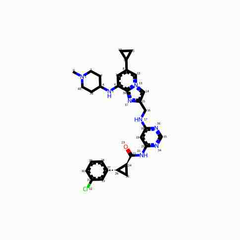 CN1CCC(Nc2cc(C3CC3)cn3cc(CNc4cc(NC(=O)[C@H]5C[C@@H]5c5cccc(Cl)c5)ncn4)nc23)CC1